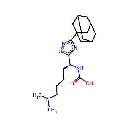 CN(C)CCCC[C@H](NC(=O)O)c1nc(C23CC4CC(CC(C4)C2)C3)no1